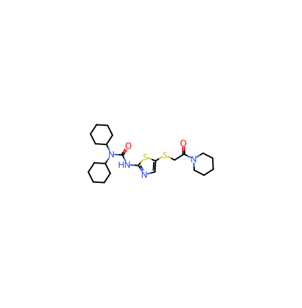 O=C(CSc1cnc(NC(=O)N(C2CCCCC2)C2CCCCC2)s1)N1CCCCC1